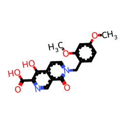 COc1ccc(Cn2ccc3c(O)c(C(=O)O)ncc3c2=O)c(OC)c1